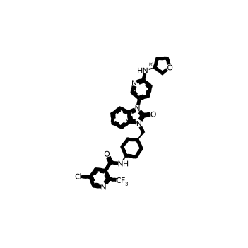 O=C(N[C@H]1CC[C@H](Cn2c(=O)n(-c3ccc(N[C@@H]4CCOC4)nc3)c3ccccc32)CC1)c1cc(Cl)cnc1C(F)(F)F